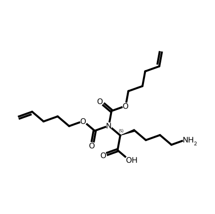 C=CCCCOC(=O)N(C(=O)OCCCC=C)[C@@H](CCCCN)C(=O)O